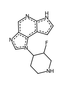 FC1CNCCC1n1cnc2cnc3[nH]ccc3c21